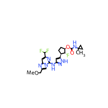 COCc1cn2c(Nc3cc([C@H]4CC[C@@H](OC(=O)NC5(C)CC5)[C@@H]4F)[nH]n3)nc(C(F)F)cc2n1